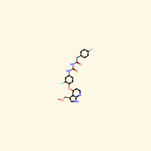 COCc1c[nH]c2nccc(Oc3ccc(NC(=O)NC(=O)Cc4ccc(F)cc4)cc3F)c12